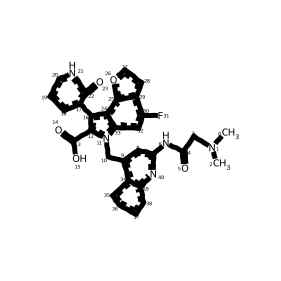 CN(C)CC(=O)Nc1cc(Cn2c(C(=O)O)c(-c3ccc[nH]c3=O)c3c4occc4c(F)cc32)c2ccccc2n1